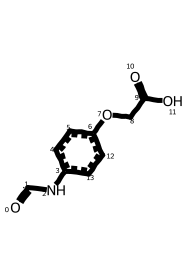 O=[C]Nc1ccc(OCC(=O)O)cc1